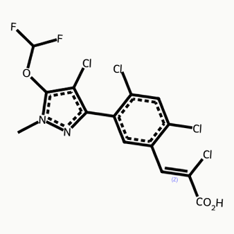 Cn1nc(-c2cc(/C=C(\Cl)C(=O)O)c(Cl)cc2Cl)c(Cl)c1OC(F)F